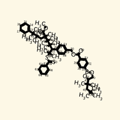 COC(=O)C(C)(CC(C)(C)C(C)(C)c1ccccc1)C(C)(C)C(C)(C)C(c1ccc(COC(=O)c2ccc(B3OCC(C(C)(C)CC(C)(C)C)O3)cc2)cc1)C(C)(C)SC(=S)c1ccccc1